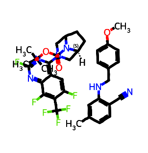 CC(C)(C)OC(=O)N1C2CC[C@H]1CN(c1nc(F)nc3c(F)c(C(F)(F)F)c(F)cc13)C2.COc1ccc(CNc2cc(C)ccc2C#N)cc1